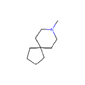 CN1CCC2(CCCC2)CC1